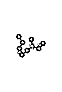 c1ccc(-c2cccc(-c3ccc4sc5cccc(-c6ccc(-c7nc(-c8ccccc8)nc(-c8cccc9c8oc8ccccc89)n7)cc6)c5c4c3)c2)cc1